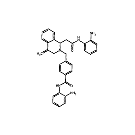 C=C1CN(Cc2ccc(C(=O)Nc3ccccc3N)cc2)C(CC(=O)Nc2ccccc2N)c2ccccc21